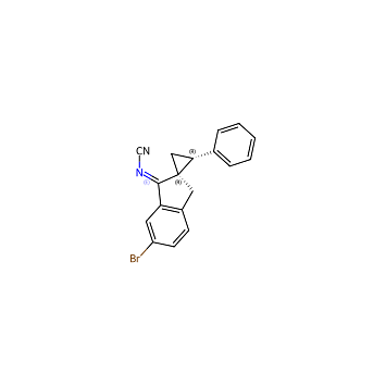 N#C/N=C1/c2cc(Br)ccc2C[C@@]12C[C@@H]2c1ccccc1